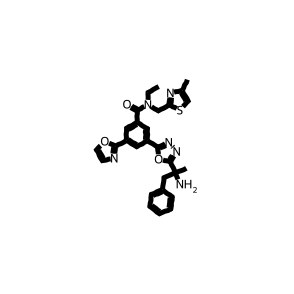 CCN(Cc1nc(C)cs1)C(=O)c1cc(-c2ncco2)cc(-c2nnc(C(C)(N)Cc3ccccc3)o2)c1